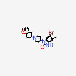 CCCO[C@H]1CC[C@@H](N2CCC(n3c(=O)[nH]c4cc(C)c(Br)cc43)CC2)CC1